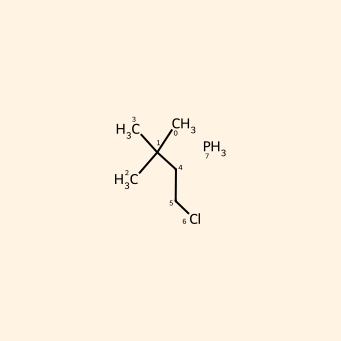 CC(C)(C)CCCl.P